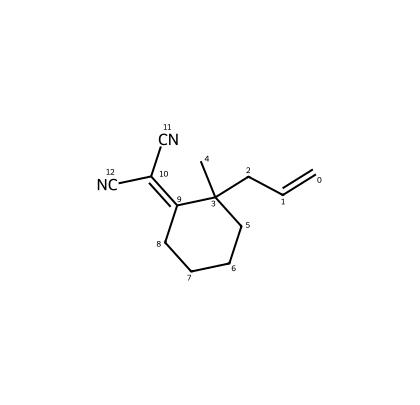 C=CCC1(C)CCCCC1=C(C#N)C#N